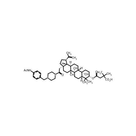 C=C(C)[C@@H]1CC[C@]2(CC(=O)N3CCN(Cc4ccc(NC(C)=O)cc4)CC3)CC[C@]3(C)[C@H](CC[C@@H]4[C@@]5(C)CC[C@H](OC(=O)CC(C)(C)C(=O)O)C(C)(C)[C@@H]5CC[C@]43C)[C@@H]12